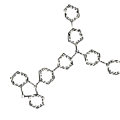 c1ccc(-c2ccc(N(c3ccc(-c4ccccc4)cc3)c3ccc(-c4ccc(N5c6ccccc6Oc6ccccc65)cc4)cc3)cc2)cc1